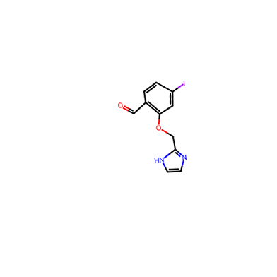 O=Cc1ccc(I)cc1OCc1ncc[nH]1